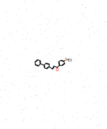 CCSc1ccc(C(=O)C=Cc2ccc(-c3ccccc3)cc2)cc1